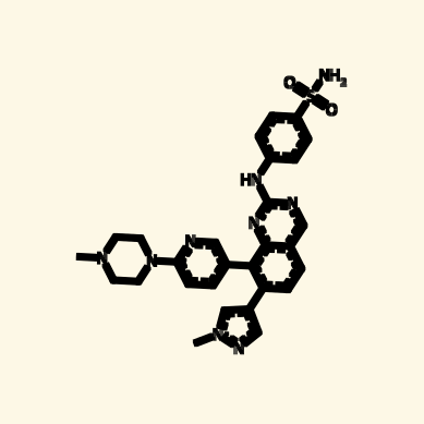 CN1CCN(c2ccc(-c3c(-c4cnn(C)c4)ccc4cnc(Nc5ccc(S(N)(=O)=O)cc5)nc34)cn2)CC1